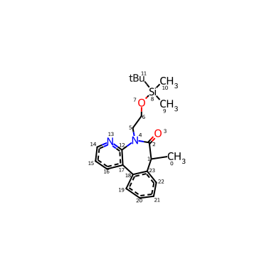 CC1C(=O)N(CCO[Si](C)(C)C(C)(C)C)c2ncccc2-c2ccccc21